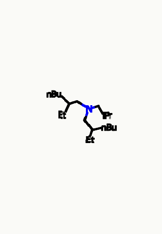 CCCCC(CC)CN(CC(C)C)CC(CC)CCCC